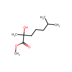 COC(=O)C(C)(O)CCCC(C)C